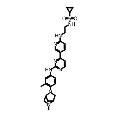 Cc1cc(Nc2nccc(-c3ccc(NCCNS(=O)(=O)C4CC4)nc3)n2)ccc1N1CC2CC1CN2C